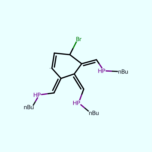 CCCCPC=C1[C]=CC(Br)C(=CPCCCC)C1=CPCCCC